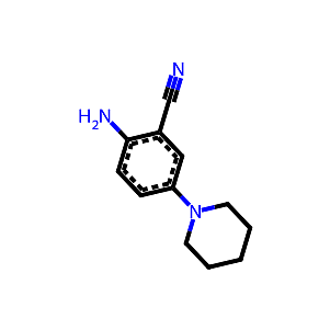 N#Cc1cc(N2CCCCC2)ccc1N